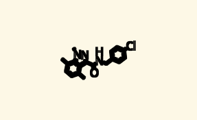 Cc1ccc(C)c2c1c(C(=O)NCc1ccc(Cl)cc1)nn2C